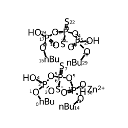 CCCCOP(=O)(O)OP(=S)([S-])OP(=O)(O)OCCCC.CCCCOP(=O)(O)OP(=S)([S-])OP(=O)(O)OCCCC.[Zn+2]